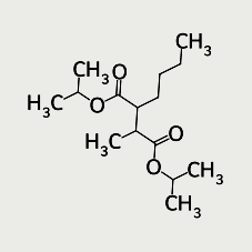 CCCCC(C(=O)OC(C)C)C(C)C(=O)OC(C)C